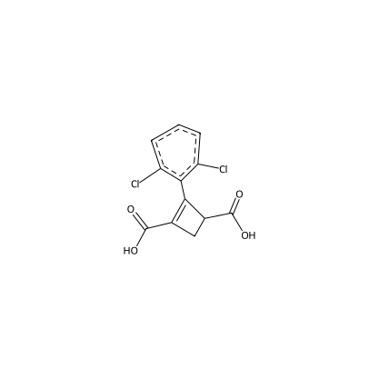 O=C(O)C1=C(c2c(Cl)cccc2Cl)C(C(=O)O)C1